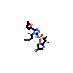 COC[C@H](C)n1c(NS(=O)(=O)[C@@H](C)[C@H](C)c2ncc(Cl)cn2)nnc1-c1ccc(C)o1